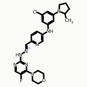 CC1CCCN1c1cc(Cl)cc(Nc2ccc(/C=N/Nc3ncc(F)c(N4CCOCC4)n3)nc2)c1